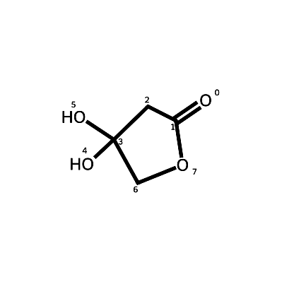 O=C1CC(O)(O)CO1